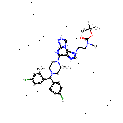 C[C@@H]1CN(c2nc3nncn3c3c2ncn3CCN(C)C(=O)OC(C)(C)C)[C@@H](C)CN1C(c1ccc(F)cc1)c1ccc(F)cc1